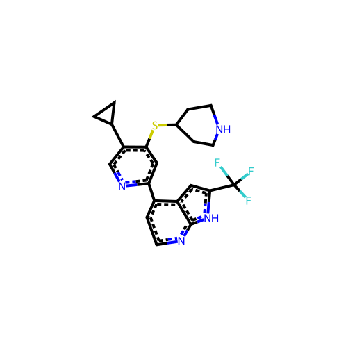 FC(F)(F)c1cc2c(-c3cc(SC4CCNCC4)c(C4CC4)cn3)ccnc2[nH]1